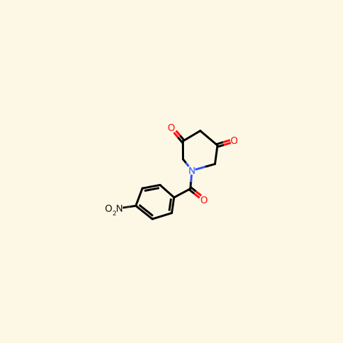 O=C1CC(=O)CN(C(=O)c2ccc([N+](=O)[O-])cc2)C1